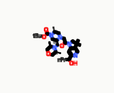 CCCC(O)c1cc2c(cn1)C(C)(C)CN2C(=O)CN1C[C@@H](C)N(C(=O)OC(C)(C)C)C[C@@H]1CN1[C@H](C)COC[C@H]1C